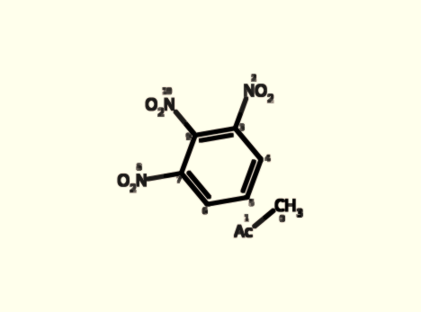 CC(C)=O.O=[N+]([O-])c1cccc([N+](=O)[O-])c1[N+](=O)[O-]